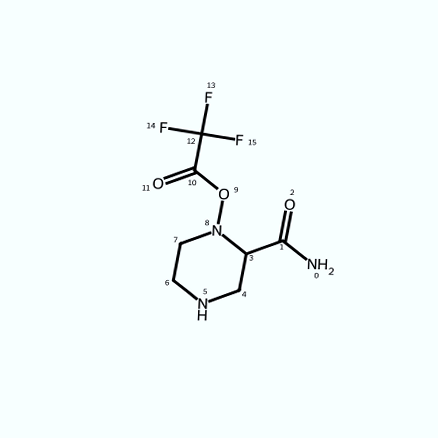 NC(=O)C1CNCCN1OC(=O)C(F)(F)F